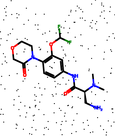 CN(C)[C@@H](CN)C(=O)Nc1ccc(N2CCOCC2=O)c(OC(F)F)c1